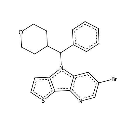 Brc1cnc2c3sccc3n(C(c3ccccc3)C3CCOCC3)c2c1